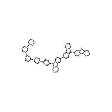 c1ccc(-c2cccc(-c3cccc(-c4ccc(-c5ccc(-n6c7ccccc7c7cc(-c8ccc9c(c8)c8ccccc8n9-c8ccc9c(c8)sc8ccccc89)ccc76)cc5)cc4)c3)c2)cc1